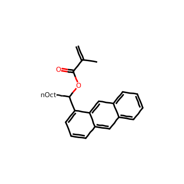 C=C(C)C(=O)OC(CCCCCCCC)c1cccc2cc3ccccc3cc12